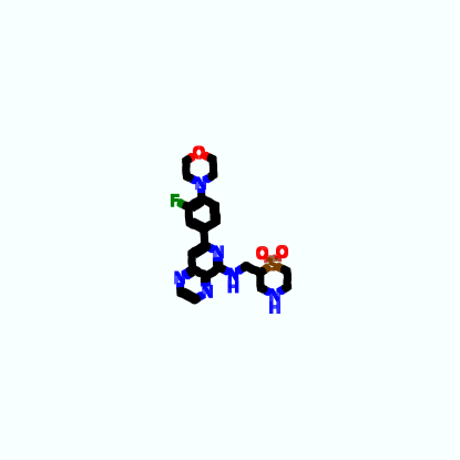 O=S1(=O)CCNCC1CNc1nc(-c2ccc(N3CCOCC3)c(F)c2)cc2nccnc12